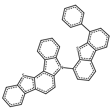 c1ccc(-c2cccc3c2sc2c(-n4c5ccccc5c5c6sc7ccccc7c6ccc54)cccc23)cc1